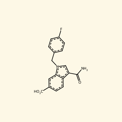 NC(=O)c1cn(Cc2ccc(F)cc2)c2cc(C(=O)O)ccc12